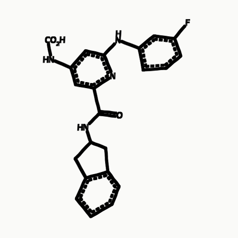 O=C(O)Nc1cc(Nc2cccc(F)c2)nc(C(=O)NC2Cc3ccccc3C2)c1